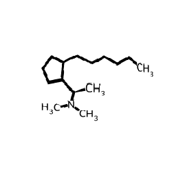 CCCCCCC1CCCC1[C@@H](C)N(C)C